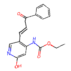 CCOC(=O)Nc1cc(O)ncc1C=CC(=O)c1ccccc1